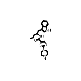 CCCC(Cc1c[nH]c2ccccc12)NC(=O)c1cnc(N2CCN(C)CC2)s1